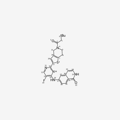 CC(C)(C)CC(=O)N1CCc2sc(-c3ncc(F)c(Nc4ccc5c(=O)[nH]ccc5c4)n3)cc2C1